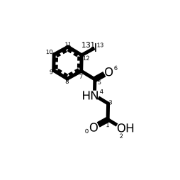 O=C(O)CNC(=O)c1ccccc1[131I]